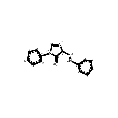 O=C1C(N=Nc2ccccc2)N=CN1c1ccccc1